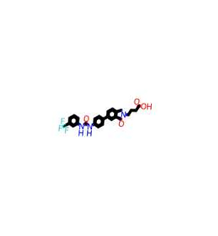 O=C(O)CCCN1Cc2ccc(-c3ccc(NC(=O)Nc4cccc(C(F)(F)F)c4)cc3)cc2C1=O